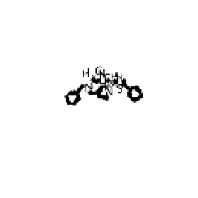 CN(C)CCN(Cc1ccccc1)Cc1ccnc(Nc2ncc(-c3ccccc3)s2)c1